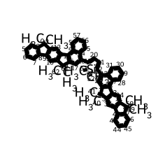 CC1(C)c2ccccc2-c2cc3c(cc21)-c1c(cc(C2=CC=C(c4cc5c(c6ccccc46)-c4cc6c(cc4C5(C)C)-c4ccccc4C6(C)C)[Si]2(C)C)c2ccccc12)C3(C)C